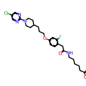 COC(=O)CCCCCNC(=O)Cc1ccc(OCCCC2CCN(c3ncc(Cl)cn3)CC2)cc1F